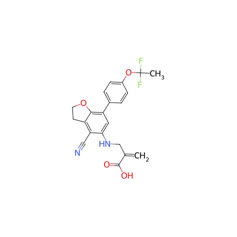 C=C(CNc1cc(-c2ccc(OC(C)(F)F)cc2)c2c(c1C#N)CCO2)C(=O)O